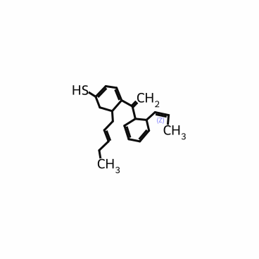 C=C(C1=CC=C(S)CC1CC=CCC)C1C=CC=CC1/C=C\C